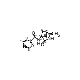 C=C1NC(=O)C2(NC(=O)c3ccncn3)CC1C2